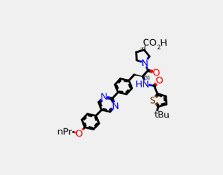 CCCOc1ccc(-c2cnc(-c3ccc(C[C@H](NC(=O)c4ccc(C(C)(C)C)s4)C(=O)N4CC[C@H](C(=O)O)C4)cc3)nc2)cc1